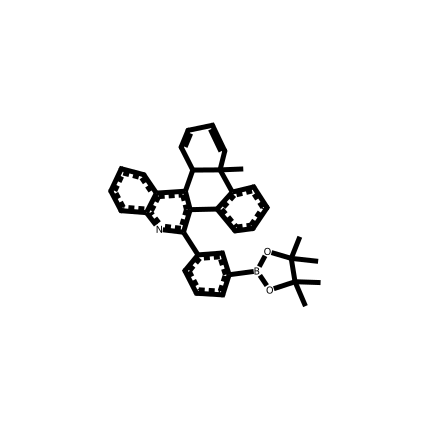 CC12C=CC=CC1c1c(c(-c3cccc(B4OC(C)(C)C(C)(C)O4)c3)nc3ccccc13)-c1ccccc12